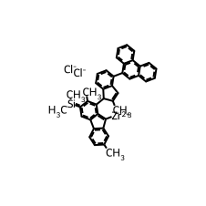 CC1=Cc2c(-c3cc4ccccc4c4ccccc34)cccc2C1c1c(C)c(=[Si](C)C)cc2c1=[C]([Zr+2])c1cc(C)ccc1-2.[Cl-].[Cl-]